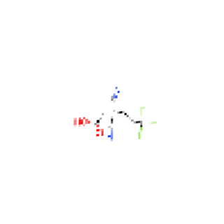 N#CC(C#N)(CCC(F)(F)F)CC(=O)O